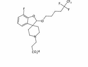 O=C(O)CCN1CCC2(CC1)c1cccc(F)c1OC2OCCCCC(F)(F)C(F)(F)F